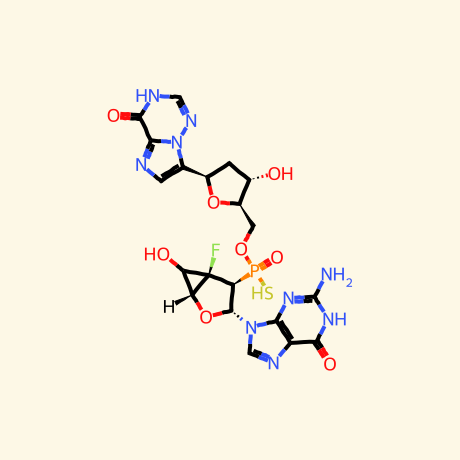 Nc1nc2c(ncn2[C@@H]2O[C@@H]3C(O)[C@]3(F)[C@H]2P(=O)(S)OC[C@H]2O[C@@H](c3cnc4c(=O)[nH]cnn34)C[C@@H]2O)c(=O)[nH]1